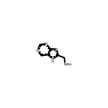 CNCc1nc2ncncc2[nH]1